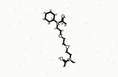 CC(=O)N(C)CCOCCOCCN(C(C)=O)C1CCCCC1